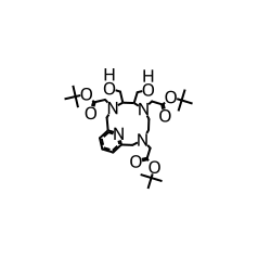 CC(C)(C)OC(=O)CN1CCN(CC(=O)OC(C)(C)C)C(CO)C(CO)N(CC(=O)OC(C)(C)C)Cc2cccc(n2)C1